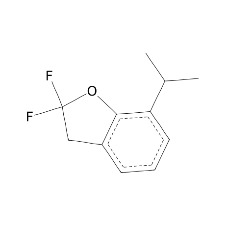 CC(C)c1cccc2c1OC(F)(F)C2